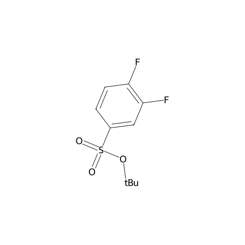 CC(C)(C)OS(=O)(=O)c1ccc(F)c(F)c1